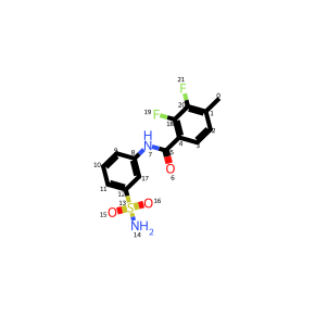 Cc1ccc(C(=O)Nc2cccc(S(N)(=O)=O)c2)c(F)c1F